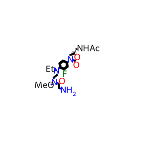 CCN(CCN(OC)C(=O)CN)c1ccc(N2C[C@H](CNC(C)=O)OC2=O)cc1F